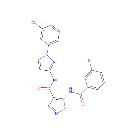 O=C(Nc1snnc1C(=O)Nc1ccn(-c2cccc(Cl)c2)n1)c1cccc(Cl)c1